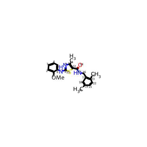 COc1ccccc1Nc1nc(C)c(C(=O)NCc2cc(C)ccc2C)s1